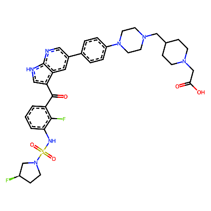 O=C(O)CN1CCC(CN2CCN(c3ccc(-c4cnc5[nH]cc(C(=O)c6cccc(NS(=O)(=O)N7CC[C@@H](F)C7)c6F)c5c4)cc3)CC2)CC1